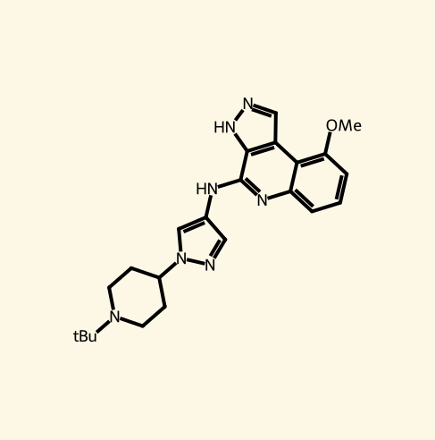 COc1cccc2nc(Nc3cnn(C4CCN(C(C)(C)C)CC4)c3)c3[nH]ncc3c12